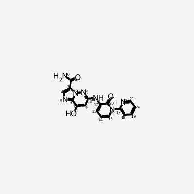 NC(=O)c1cnc2c(O)cc(Nc3cccn(-c4ccccn4)c3=O)nn12